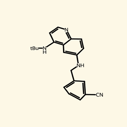 CC(C)(C)Nc1ccnc2ccc(NCc3cccc(C#N)c3)cc12